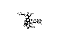 C=CCOC(=O)C(CC(C)C)c1ccc(C2(N(COCC[Si](C)(C)C)[S+]([O-])C(C)(C)C)COC2)cc1